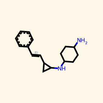 NC1CCC(NC2CC2/C=C/c2ccccc2)CC1